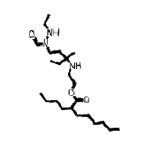 CCCCCCC(CCCC)C(=O)OCCNC(C)(CC)CCN(C=O)NCC